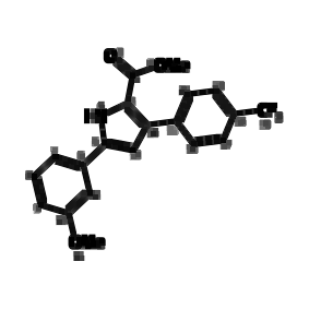 COC(=O)c1[nH]c(-c2cccc(OC)c2)cc1-c1ccc(C(F)(F)F)cc1